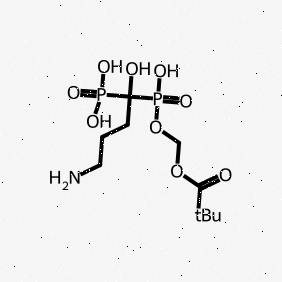 CC(C)(C)C(=O)OCOP(=O)(O)C(O)(CCCN)P(=O)(O)O